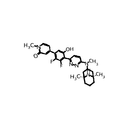 CN(c1ccc(-c2c(O)cc(-c3ccn(C)c(=O)c3)c(F)c2F)nn1)C1C[C@]2(C)CCC[C@](C)(C1)N2